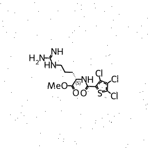 COC(=O)[C@H](CCCNC(=N)N)NC(=O)c1sc(Cl)c(Cl)c1Cl